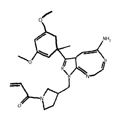 C=CC(=O)N1CCC(CN2N=C(C3(C)C=C(OC)C=C(OC)C3)C3C=C(N)N=CN=C32)C1